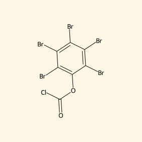 O=C(Cl)Oc1c(Br)c(Br)c(Br)c(Br)c1Br